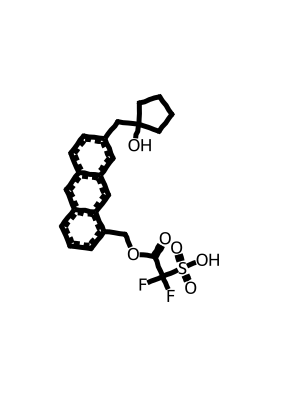 O=C(OCc1cccc2cc3ccc(CC4(O)CCCC4)cc3cc12)C(F)(F)S(=O)(=O)O